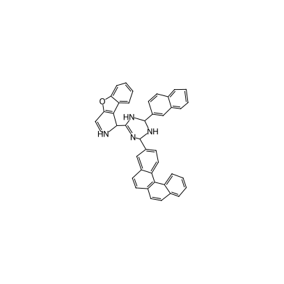 C1=Cc2oc3ccccc3c2C(C2=NC(c3ccc4c(ccc5ccc6ccccc6c54)c3)NC(c3ccc4ccccc4c3)N2)N1